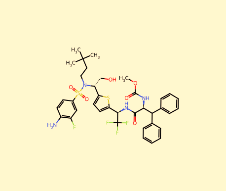 COC(=O)N[C@H](C(=O)N[C@H](c1ccc([C@@H](CO)N(CCC(C)(C)C)S(=O)(=O)c2ccc(N)c(F)c2)s1)C(F)(F)F)C(c1ccccc1)c1ccccc1